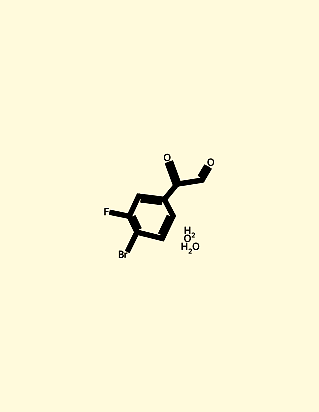 O.O.O=CC(=O)c1ccc(Br)c(F)c1